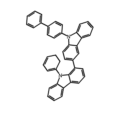 C1=CCCC(n2c3ccccc3c3cccc(-c4ccc5c(c4)c4ccccc4n5-c4ccc(-c5ccccc5)cc4)c32)=C1